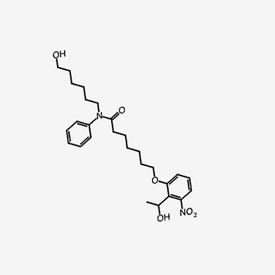 CC(O)c1c(OCCCCCCC(=O)N(CCCCCCO)c2ccccc2)cccc1[N+](=O)[O-]